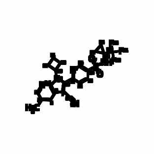 Cc1cnc2c(c1)c(C#N)c(-c1ccc(S(=O)(=O)NC3(C(F)(F)F)CC3)cn1)n2C1CCC1